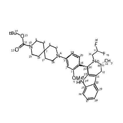 COc1cc(N2CCC3(CCN(C(=O)OC(C)(C)C)CC3)CC2)ccc1[C@@H]1c2[nH]c3ccccc3c2C[C@@H](C)N1CC(F)F